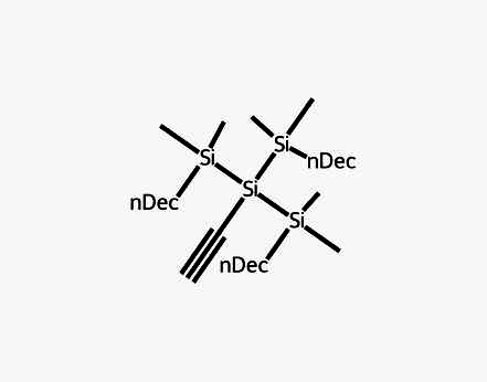 C#C[Si]([Si](C)(C)CCCCCCCCCC)([Si](C)(C)CCCCCCCCCC)[Si](C)(C)CCCCCCCCCC